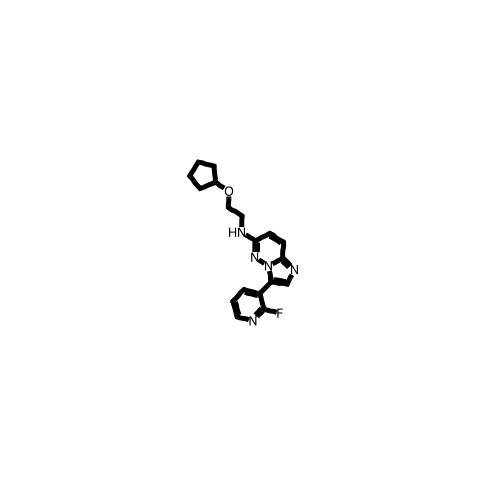 Fc1ncccc1-c1cnc2ccc(NCCOC3CCCC3)nn12